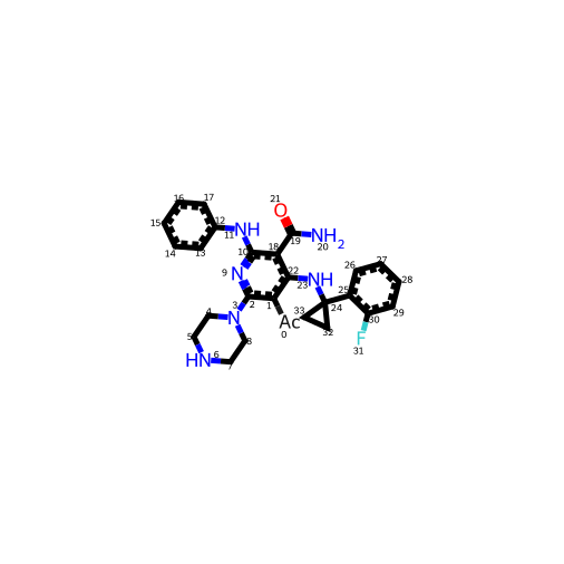 CC(=O)c1c(N2CCNCC2)nc(Nc2ccccc2)c(C(N)=O)c1NC1(c2ccccc2F)CC1